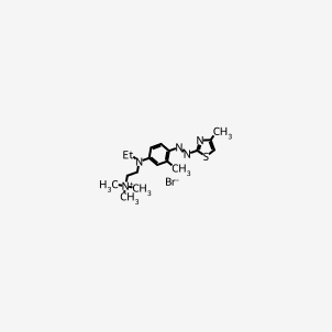 CCN(CC[N+](C)(C)C)c1ccc(N=Nc2nc(C)cs2)c(C)c1.[Br-]